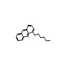 CCCCCCc1cccc2cc3ccccc3c(N)c12